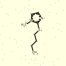 CCCCSc1nccn1C